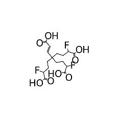 O=C(O)/C=C/C(CCC(F)C(=O)O)(CCC(F)C(=O)O)CCC(F)C(=O)O